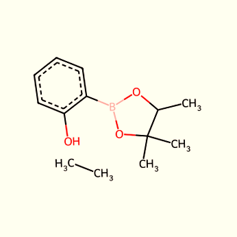 CC.CC1OB(c2ccccc2O)OC1(C)C